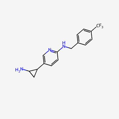 NC1CC1c1ccc(NCc2ccc(C(F)(F)F)cc2)nc1